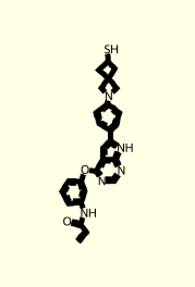 C=CC(=O)Nc1cccc(Oc2ncnc3[nH]c(-c4ccc(N5CC6(CC(S)C6)C5)cc4)cc23)c1